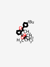 Cc1c(-c2ccc(C(C)(C)C)cc2)oc2cccc(B3OC(C)(C)C(C)(C)O3)c12